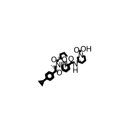 C[C@H](NC(=O)[C@H]1CCCO1)[C@H](Oc1ccc(C(=O)N[C@H]2CCCN(C(=O)O)C2)nc1)c1ccc(C2CC2)cc1